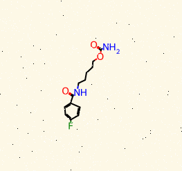 NC(=O)OCCCCCNC(=O)c1ccc(F)cc1